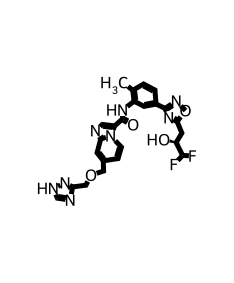 Cc1ccc(-c2noc(C[C@H](O)C(F)F)n2)cc1NC(=O)c1cnc2cc(COCc3nc[nH]n3)ccn12